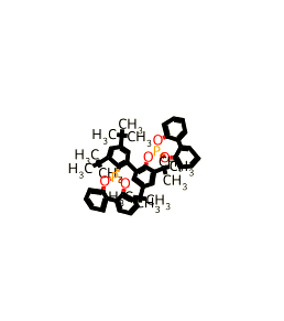 CC(C)(C)c1cc(-c2cc(C(C)(C)C)cc(C(C)(C)C)c2-p2oc3ccccc3c3ccccc3o2)c(Op2oc3ccccc3c3ccccc3o2)c(C(C)(C)C)c1